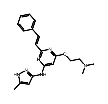 Cc1cc(Nc2cc(OCCN(C)C)nc(C=Cc3ccccc3)n2)n[nH]1